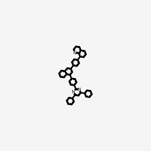 c1ccc(-c2cc(-c3ccccc3)nc(-c3ccc(-c4cc(-c5ccc(-c6cccc7cccnc67)cc5)cc5ccccc45)cc3)n2)cc1